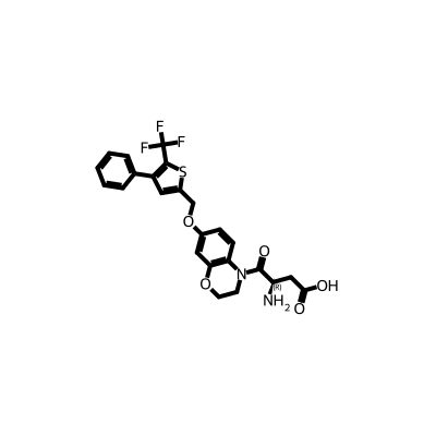 N[C@H](CC(=O)O)C(=O)N1CCOc2cc(OCc3cc(-c4ccccc4)c(C(F)(F)F)s3)ccc21